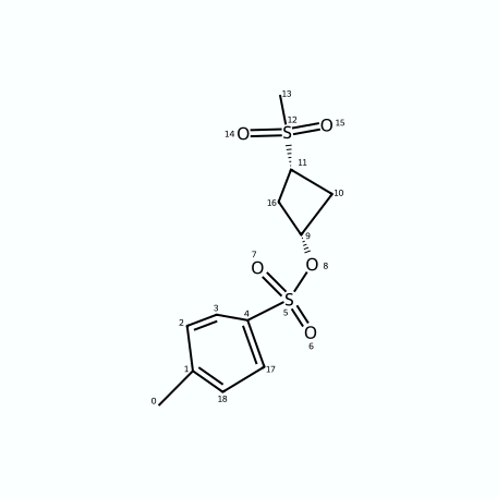 Cc1ccc(S(=O)(=O)O[C@H]2C[C@@H](S(C)(=O)=O)C2)cc1